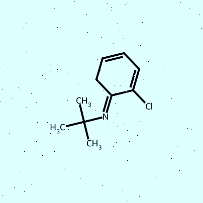 CC(C)(C)N=C1CC=CC=C1Cl